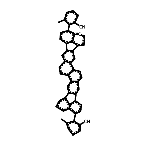 Cc1cccc(C#N)c1-c1ccc2c3c(cccc13)-c1cc3c(ccc4c5cc6c(cc5ccc34)-c3ccc(-c4c(C)cccc4C#N)c4cccc-6c34)cc1-2